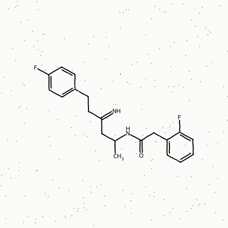 CC(CC(=N)CCc1ccc(F)cc1)NC(=O)Cc1ccccc1F